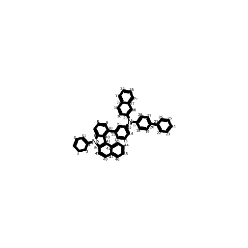 C1=CCCC(n2c3cccc(-c4cccc(N(c5ccc(-c6ccccc6)cc5)c5ccc6ccccc6c5)c4)c3c3c4ccccc4ccc32)=C1